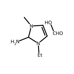 CCN1C=CN(C)C1N.O=CO